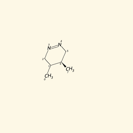 CC1CN=NC[C@H]1C